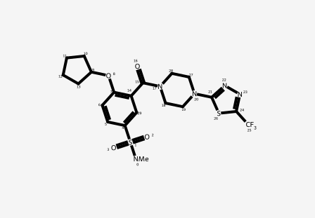 CNS(=O)(=O)c1ccc(OC2CCCC2)c(C(=O)N2CCN(c3nnc(C(F)(F)F)s3)CC2)c1